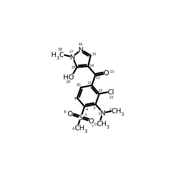 CN(C)c1c(S(C)(=O)=O)ccc(C(=O)c2cnn(C)c2O)c1Cl